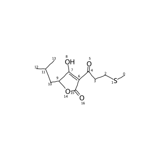 CSCCC(=O)C1=C(O)C(CC(C)C)OC1=O